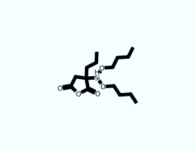 CCCCO[SiH](OCCCC)C1(CCC)CC(=O)OC1=O